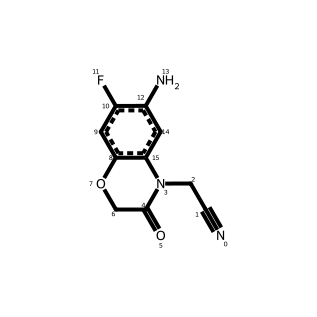 N#CCN1C(=O)COc2cc(F)c(N)cc21